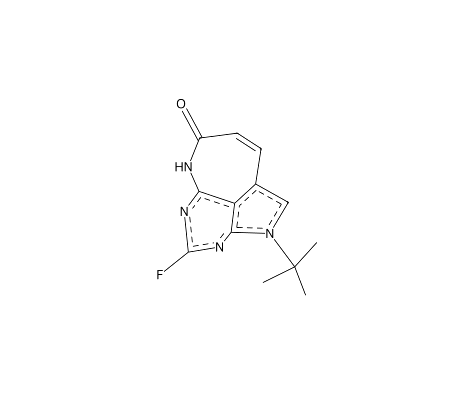 CC(C)(C)n1cc2c3c(nc(F)nc31)NC(=O)C=C2